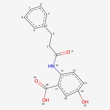 O=C(CCc1ccccc1)Nc1ccc(O)cc1C(=O)O